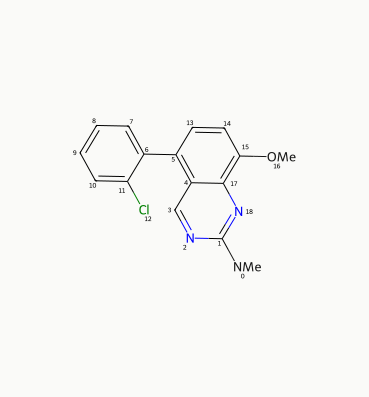 CNc1ncc2c(-c3ccccc3Cl)ccc(OC)c2n1